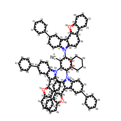 N#Cc1c(-n2c3ccc(-c4ccccc4)cc3c3c4oc5ccccc5c4ccc32)c2c(c(-n3c4ccc(-c5ccccc5)cc4c4c5oc6ccccc6c5ccc43)c1-n1c3ccc(-c4ccccc4)cc3c3c4oc5ccccc5c4ccc31)C1CCC2CC1